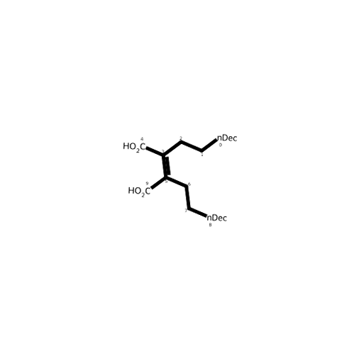 CCCCCCCCCCCCC(C(=O)O)=C(CCCCCCCCCCCC)C(=O)O